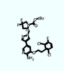 CC(C)(C)OC(=O)N1CC(F)(F)C[C@H]1Cn1cc(-c2cnc(N)c(OCCc3c(Cl)ccc(F)c3Cl)c2)cn1